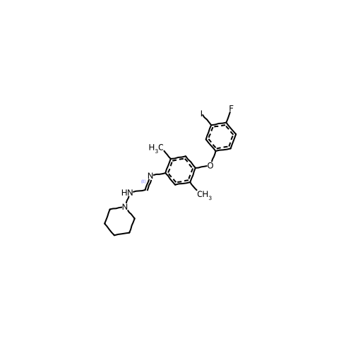 Cc1cc(Oc2ccc(F)c(I)c2)c(C)cc1/N=C/NN1CCCCC1